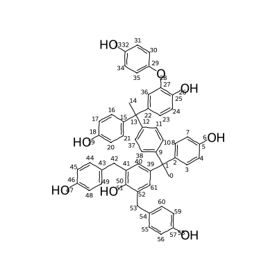 CC(c1ccc(O)cc1)(c1ccc(C(C)(c2ccc(O)cc2)c2ccc(O)c(Oc3ccc(O)cc3)c2)cc1)c1cc(Cc2ccc(O)cc2)c(O)c(Cc2ccc(O)cc2)c1